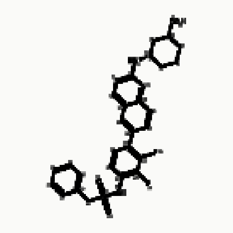 O=C(O)N1CCC[C@H](Nc2ncc3cc(-c4ccc(NS(=O)(=O)Cc5ccccc5)c(F)c4F)ccc3n2)C1